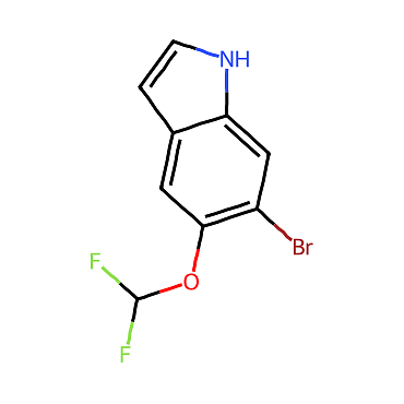 FC(F)Oc1cc2cc[nH]c2cc1Br